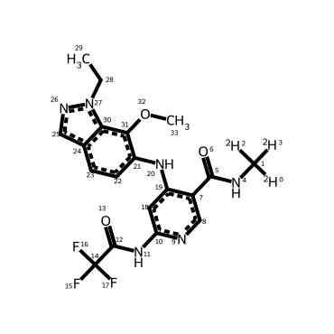 [2H]C([2H])([2H])NC(=O)c1cnc(NC(=O)C(F)(F)F)cc1Nc1ccc2cnn(CC)c2c1OC